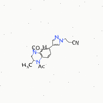 CC(=O)N1c2ccc(-c3cnn(CCC#N)c3)cc2N(C(=O)O)CC1C